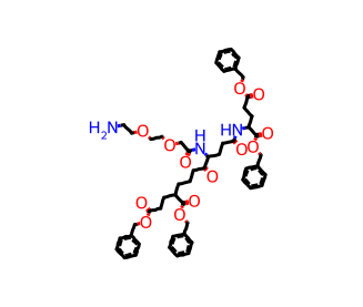 NCCOCCOCC(=O)NC(CCC(=O)NC(CCC(=O)OCc1ccccc1)C(=O)OCc1ccccc1)C(=O)CCCC(CCC(=O)OCc1ccccc1)C(=O)OCc1ccccc1